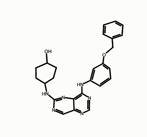 OC1CCC(Nc2ncc3ncnc(Nc4cccc(OCc5ccccc5)c4)c3n2)CC1